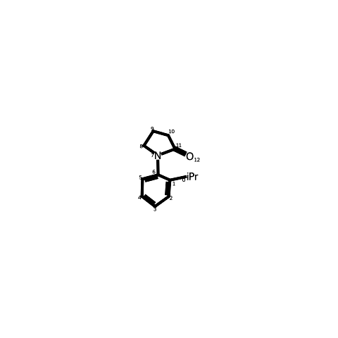 CC(C)c1ccccc1N1CCCC1=O